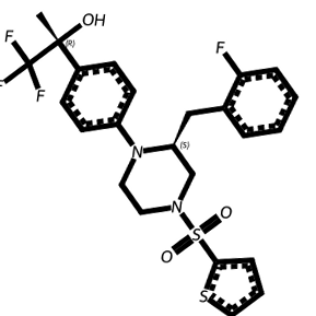 C[C@@](O)(c1ccc(N2CCN(S(=O)(=O)c3cccs3)C[C@@H]2Cc2ccccc2F)cc1)C(F)(F)F